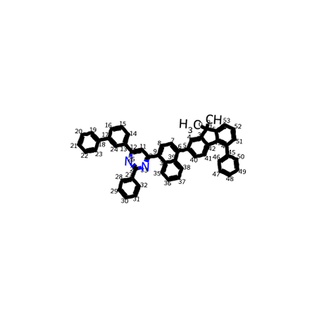 CC1(C)c2cc(-c3ccc(-c4cc(-c5cccc(-c6ccccc6)c5)nc(-c5ccccc5)n4)c4ccccc34)ccc2-c2c(-c3ccccc3)cccc21